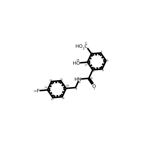 O=C(O)c1cccc(C(=O)NCc2ccc(F)cc2)c1O